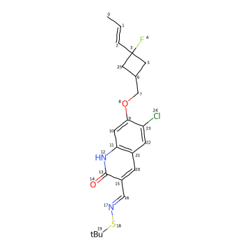 C/C=C/C1(F)CC(COc2cc3[nH]c(=O)c(/C=N/SC(C)(C)C)cc3cc2Cl)C1